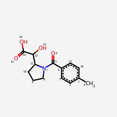 Cc1ccc(C(=O)N2CCCC2C(O)C(=O)O)cc1